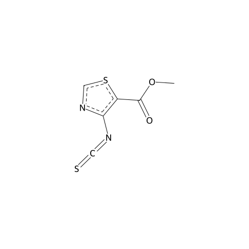 COC(=O)c1scnc1N=C=S